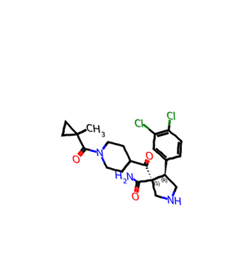 CC1(C(=O)N2CCC(C(=O)[C@@]3(C(N)=O)CNC[C@@H]3c3ccc(Cl)c(Cl)c3)CC2)CC1